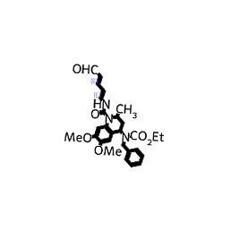 CCOC(=O)N(Cc1ccccc1)C1CC(C)N(C(=O)N/C=C/C=C/C=O)c2cc(OC)c(OC)cc21